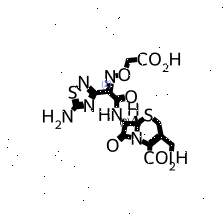 Nc1nc(/C(=N/OCC(=O)O)C(=O)N[C@@H]2C(=O)N3C(C(=O)O)=C(CI)CS[C@@H]23)ns1